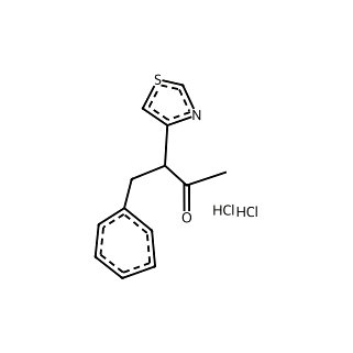 CC(=O)C(Cc1ccccc1)c1cscn1.Cl.Cl